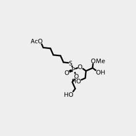 COC(O)C(CO)OP(=O)(OCCO)SCCCCCOC(C)=O